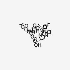 CC(C)OC(=O)OCOP(=O)(COC[C@@H]1C[C@@H](O)[C@H](C[C@@H]2C=Nc3c(nc(Cl)nc3N[C@@H](C)c3ccc(F)cc3)CC2)O1)OCOC(=O)OC(C)C